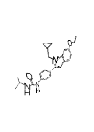 CCOc1ccc2cc(-c3ccc(NC(=O)NC(C)C)cc3)n(CC3CC3)c2c1